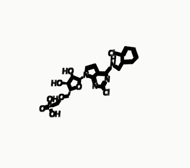 O=P(O)(O)COC[C@H]1O[C@@H](n2ccc3c(NCc4ccccc4Cl)nc(Cl)nc32)[C@H](O)[C@@H]1O